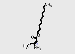 CCCCCCCCCCOC(=O)/C=C(/N)CC